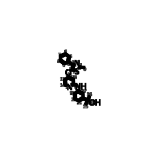 Cc1nc(-c2ccccc2)c(Oc2ccnc(Nc3cccc(C(C)(C)O)c3)c2)s1